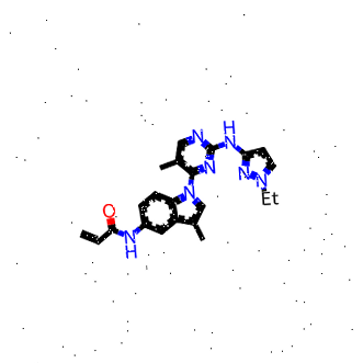 C=CC(=O)Nc1ccc2c(c1)c(C)cn2-c1nc(Nc2ccn(CC)n2)ncc1C